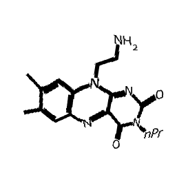 CCCn1c(=O)nc2n(CCN)c3cc(C)c(C)cc3nc-2c1=O